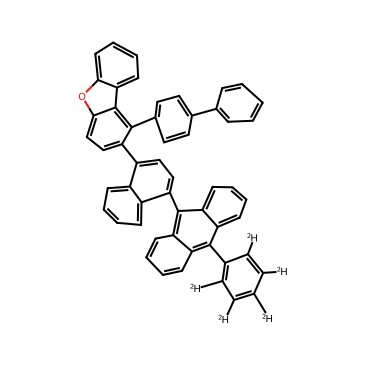 [2H]c1c([2H])c([2H])c(-c2c3ccccc3c(-c3ccc(-c4ccc5oc6ccccc6c5c4-c4ccc(-c5ccccc5)cc4)c4ccccc34)c3ccccc23)c([2H])c1[2H]